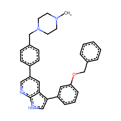 CN1CCN(Cc2ccc(-c3cnc4[nH]cc(-c5cccc(OCc6ccccc6)c5)c4c3)cc2)CC1